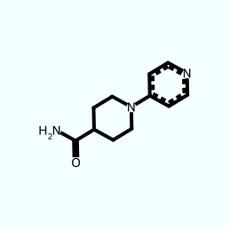 NC(=O)C1CCN(c2ccncc2)CC1